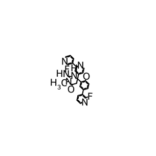 CN1C(=N)NC2(CC1=O)c1cc(-c3cccnc3F)ccc1Oc1cnc(-c3cccnc3F)cc12